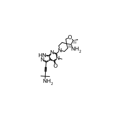 C[C@@H]1OCC2(CCN(c3nc4[nH]nc(C#CC(C)(C)N)c4c(=O)n3C)CC2)[C@@H]1N